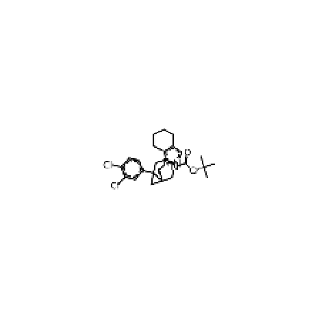 CC(C)(C)OC(=O)N1CCC2(c3ccc(Cl)c(Cl)c3)CC2(Cn2ncc3c2CCCC3)C1